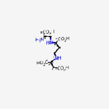 N[C@@H](CNC(CCN[C@@H](CC(=O)O)C(=O)O)C(=O)O)C(=O)O